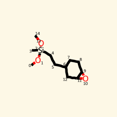 CO[Si](C)(CCC1CCC2OC2C1)OC